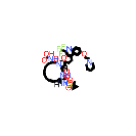 CC1(S(=O)(=O)NC(=O)[C@@]23C[C@H]2C=CCCCCC[C@H](NC(=O)O)C(=O)N2C[C@@]4(CCc5c(c(C(F)(F)F)nc6ccc(OCCN7CCCCC7)cc56)O4)C[C@H]2C(=O)N3)CC1